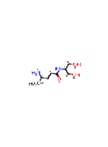 N[C@@H](CCC(=O)NC(CO)CO)C(=O)O